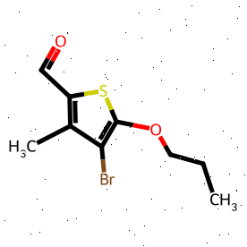 CCCOc1sc(C=O)c(C)c1Br